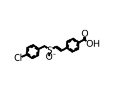 O=C(O)c1ccc(C=C[S+]([O-])Cc2ccc(Cl)cc2)cc1